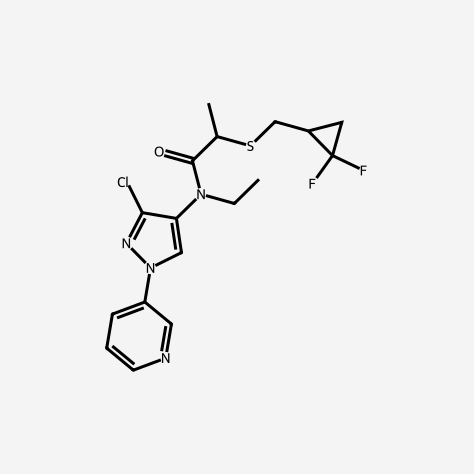 CCN(C(=O)C(C)SCC1CC1(F)F)c1cn(-c2cccnc2)nc1Cl